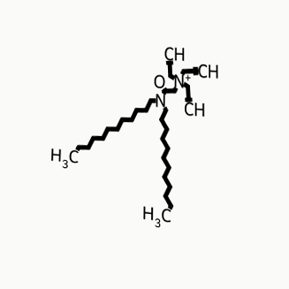 C#CC[N+](CC#C)(CC#C)CC(=O)N(CCCCCCCCCCCC)CCCCCCCCCCCC